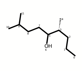 CCC[C@@H](C)C(O)CCC(C)C